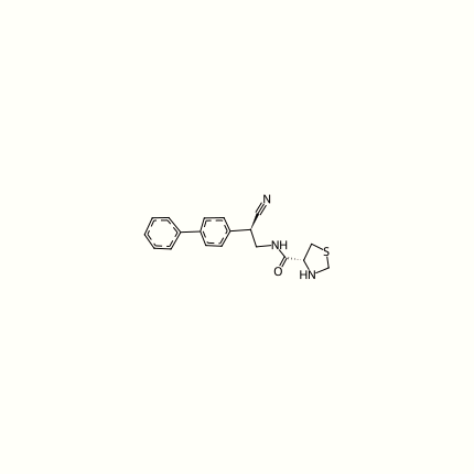 N#C[C@@H](CNC(=O)[C@@H]1CSCN1)c1ccc(-c2ccccc2)cc1